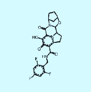 O=C(NCc1c(F)cc(F)cc1F)c1c2n3c(c(O)c1=O)C(=O)N1C4CCC(C4)OC1C3CC2